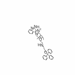 CCOCc1nc2c(N)nc3ccccc3c2n1CC(C)(C)OCCNCCCOC(c1ccccc1)(c1ccccc1)c1ccccc1